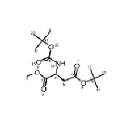 COC(=O)[C@H](CC(=O)OC(C)(C)C)NC(=O)OC(C)(C)C